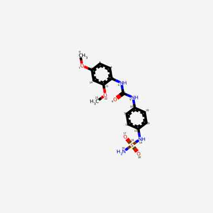 COc1ccc(NC(=O)Nc2ccc(NS(N)(=O)=O)cc2)c(OC)c1